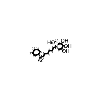 CC(=O)N(CCCCCCN1C[C@H](O)[C@@H](O)[C@H](O)[C@H]1CO)C1CCCCC1